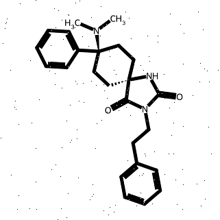 CN(C)[C@]1(c2ccccc2)CC[C@]2(CC1)NC(=O)N(CCc1ccccc1)C2=O